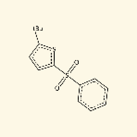 CC(C)(C)c1ccc(S(=O)(=O)c2ccccc2)s1